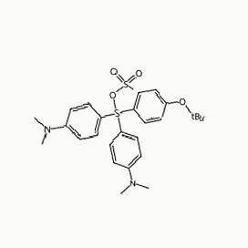 CN(C)c1ccc(S(OS(C)(=O)=O)(c2ccc(OC(C)(C)C)cc2)c2ccc(N(C)C)cc2)cc1